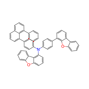 c1ccc(-c2cccc3cccc(-c4ccc(N(c5ccc(-c6cccc7c6oc6ccccc67)cc5)c5cccc6oc7ccccc7c56)cc4)c23)cc1